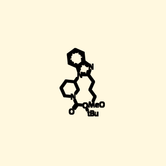 COCCCc1nc2ccccc2n1C1CCCN(C(=O)OC(C)(C)C)C1